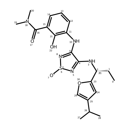 CC[C@@H](Nc1n[s+]([O-])nc1Nc1cccc(C(=O)N(C)C)c1O)c1cc(C(C)C)co1